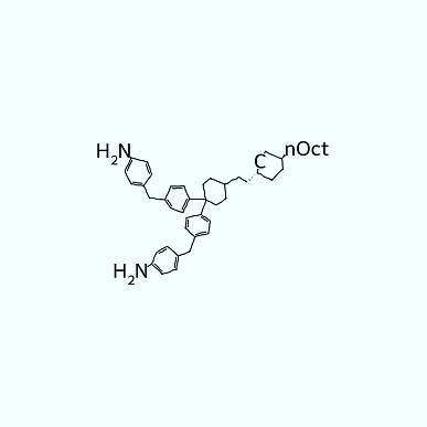 CCCCCCCC[C@H]1CC[C@H](CCC2CCC(c3ccc(Cc4ccc(N)cc4)cc3)(c3ccc(Cc4ccc(N)cc4)cc3)CC2)CC1